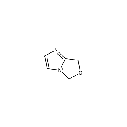 C1=C[N+]2COCC2=N1